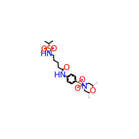 CC(C)S(=O)(=O)NCCCCC(=O)Nc1ccc(S(=O)(=O)N2C[C@@H](C)O[C@@H](C)C2)cc1